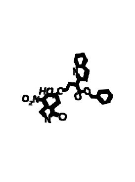 O=C(O)CCC(C(=O)OCc1ccccc1)c1ccc2ccccc2n1.O=C1N=Cc2c1cccc2[N+](=O)[O-]